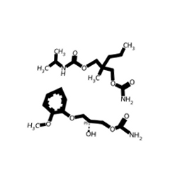 CCCC(C)(COC(N)=O)COC(=O)NC(C)C.COc1ccccc1OC[C@@H](O)COC(N)=O